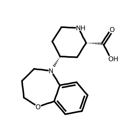 O=C(O)[C@@H]1C[C@H](N2CCCOc3ccccc32)CCN1